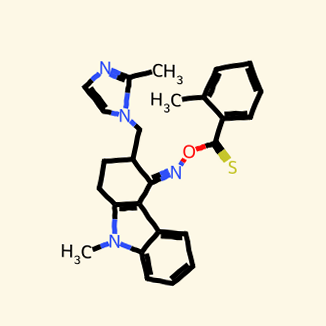 Cc1ccccc1C(=S)O/N=C1/c2c(n(C)c3ccccc23)CCC1Cn1ccnc1C